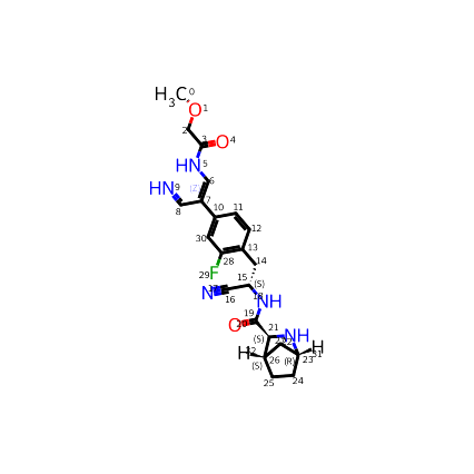 COCC(=O)N/C=C(\C=N)c1ccc(C[C@@H](C#N)NC(=O)[C@H]2N[C@@H]3CC[C@H]2C3)c(F)c1